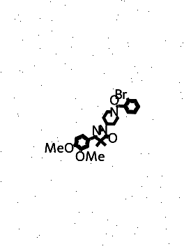 COc1ccc(C2=NN(C3CCN(C(=O)c4ccccc4Br)CC3)C(=O)C2(C)C)cc1OC